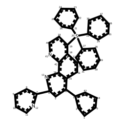 c1ccc(-c2cc(-c3ccccn3)nc3c2ccc2c(S(c4ccccc4)(c4ccccc4)c4ccccc4)ccnc23)cc1